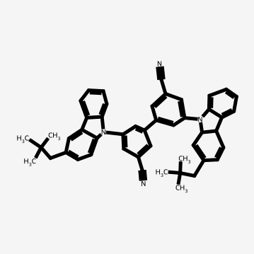 CC(C)(C)CC1=CC2C(C=C1)c1ccccc1N2c1cc(C#N)cc(-c2cc(C#N)cc(-n3c4ccccc4c4cc(CC(C)(C)C)ccc43)c2)c1